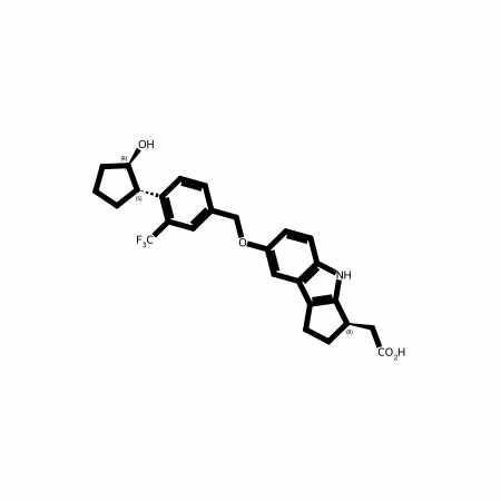 O=C(O)C[C@H]1CCc2c1[nH]c1ccc(OCc3ccc([C@@H]4CCC[C@H]4O)c(C(F)(F)F)c3)cc21